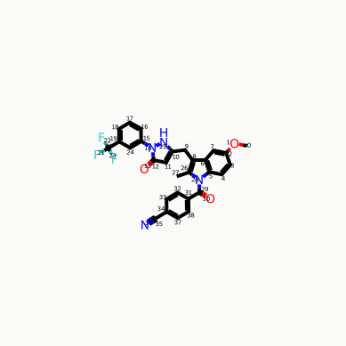 COc1ccc2c(c1)c(Cc1cc(=O)n(-c3cccc(C(F)(F)F)c3)[nH]1)c(C)n2C(=O)c1ccc(C#N)cc1